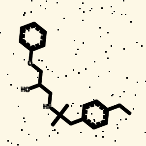 CCc1ccc(CC(C)(C)NCC(O)COc2ccccc2)cc1